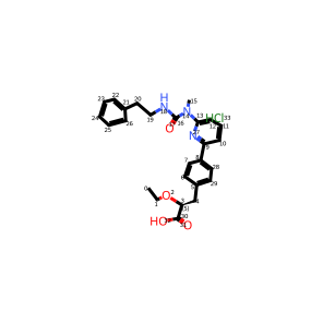 CCO[C@@H](Cc1ccc(-c2cccc(N(C)C(=O)NCCc3ccccc3)n2)cc1)C(=O)O.Cl